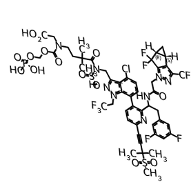 CC(C)(CCN(CC(=O)O)C(=O)OCOP(=O)(O)O)C(=O)N(Cc1nn(CC(F)(F)F)c2c(-c3ccc(C#CC(C)(C)S(C)(=O)=O)nc3C(Cc3cc(F)cc(F)c3)NC(=O)Cn3nc(C(F)(F)F)c4c3C(F)(F)[C@@H]3C[C@H]43)ccc(Cl)c12)[SH](=O)=O